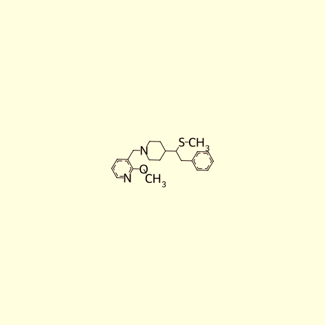 COc1ncccc1CN1CCC(C(Cc2ccccc2)SC)CC1